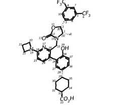 C[C@H]1[C@@H](c2cc(C(F)(F)F)cc(C(F)(F)F)c2)OC(=O)N1Cc1nc(N2CCC2)ccc1-c1cc([C@H]2CC[C@H](C(=O)O)CC2)ccc1O